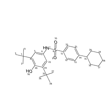 CC(C)(C)c1cc(NS(=O)(=O)c2ccc(C3CCCCC3)cc2)cc(C(C)(C)C)c1O